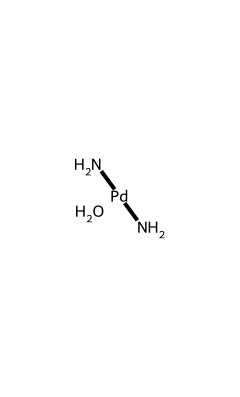 O.[NH2][Pd][NH2]